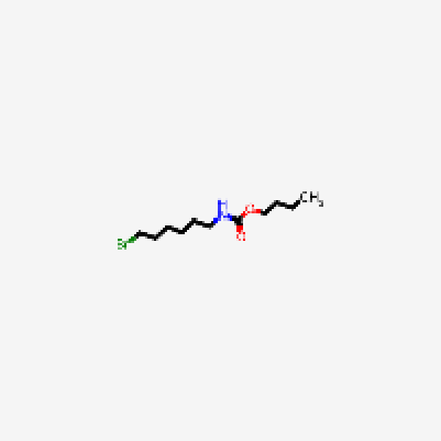 CCCCOC(=O)NCCCCCCBr